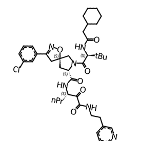 CCC[C@H](NC(=O)[C@@H]1C[C@]2(CC(c3cccc(Cl)c3)=NO2)CN1C(=O)[C@@H](NC(=O)CC1CCCCC1)C(C)(C)C)C(=O)C(=O)NCCc1cccnc1